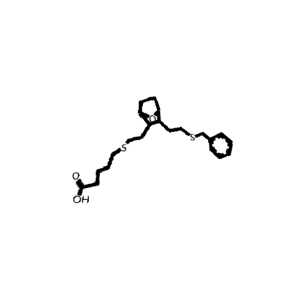 O=C(O)CCCCSCCC1C2CCC(O2)C1CCSCc1ccccc1